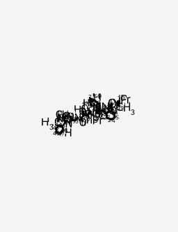 CCCC(NC(=O)[C@@H]1[C@H]2C[C@H]2CN1C(=O)[C@@H](NC(=O)OC(C)C(C)C)C1(C)CCCCC1)C(=O)C(=O)NCC(=O)N[C@H](C(=O)N(C)C)c1ccccc1